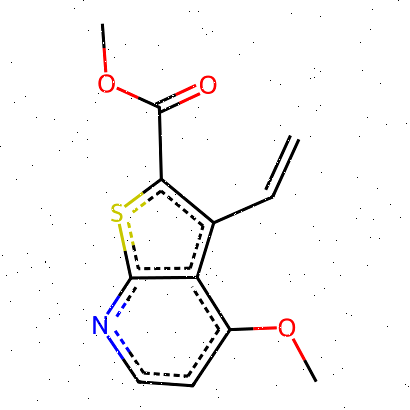 C=Cc1c(C(=O)OC)sc2nccc(OC)c12